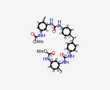 COC(=O)Nc1ccc(C)c(NC(=O)Nc2ccc(Cc3ccc(NC(=O)Nc4cc(NC(=O)OC)ccc4C)cc3)cc2)c1